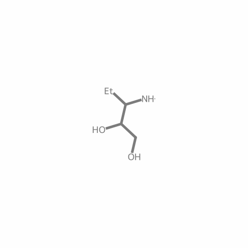 CCC([NH])C(O)CO